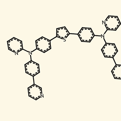 c1ccc(N(c2ccc(-c3cccnc3)cc2)c2ccc(-c3ccc(-c4ccc(N(c5ccc(-c6cccnc6)cc5)c5ccccn5)cc4)s3)cc2)nc1